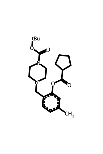 Cc1ccc(CN2CCN(C(=O)OC(C)(C)C)CC2)c(OC(=O)C2CCCC2)c1